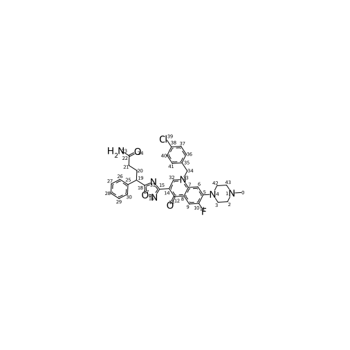 CN1CCN(c2cc3c(cc2F)c(=O)c(-c2noc(C(CCC(N)=O)c4ccccc4)n2)cn3Cc2ccc(Cl)cc2)CC1